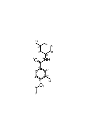 CCOc1ccc(C(=O)NC(CC)CC(C)C)cc1C